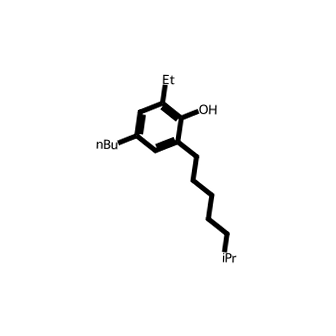 CCCCc1cc(CC)c(O)c(CCCCCC(C)C)c1